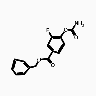 NC(=O)Oc1ccc(C(=O)OCc2ccccc2)cc1F